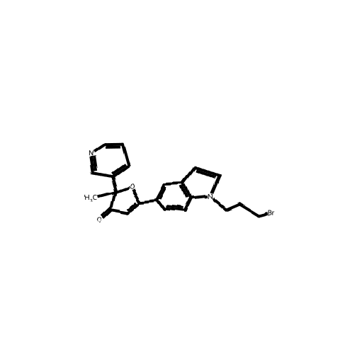 CC1(c2cccnc2)OC(c2ccc3c(ccn3CCCBr)c2)=CC1=O